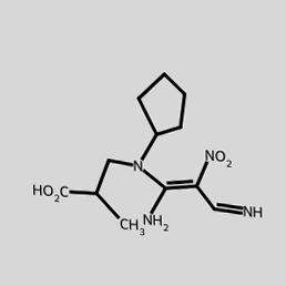 CC(CN(/C(N)=C(/C=N)[N+](=O)[O-])C1CCCC1)C(=O)O